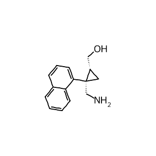 NC[C@@]1(c2cccc3ccccc23)C[C@H]1CO